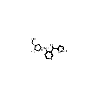 C[C@H]1C[C@H](Nc2ncncc2C(=O)c2cc[nH]n2)C[C@@H]1CO